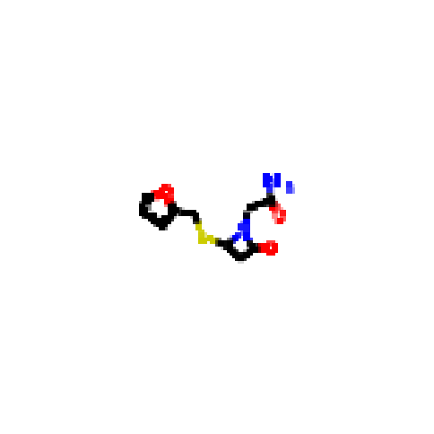 NC(=O)CN1C(=O)CC1SCc1ccco1